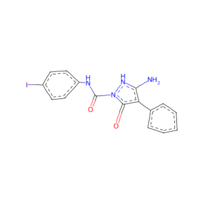 Nc1[nH]n(C(=O)Nc2ccc(I)cc2)c(=O)c1-c1ccccc1